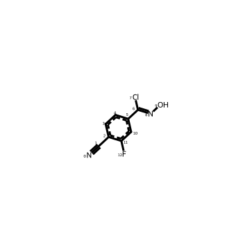 N#Cc1ccc(C(Cl)=NO)cc1F